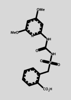 COc1cc(NC(=O)NS(=O)(=O)Cc2ccccc2C(=O)O)nc(OC)c1